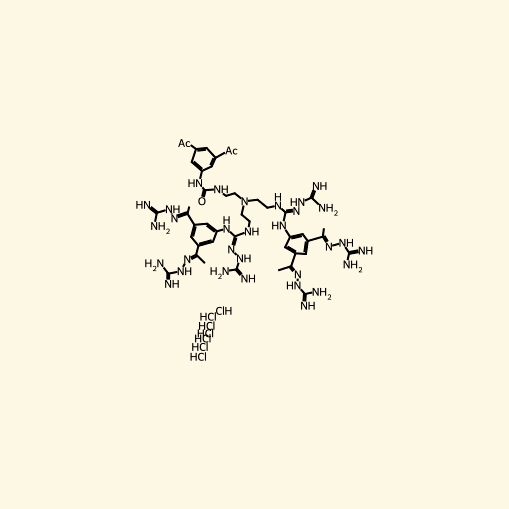 CC(=O)c1cc(NC(=O)NCCN(CCNC(=NNC(=N)N)Nc2cc(C(C)=NNC(=N)N)cc(C(C)=NNC(=N)N)c2)CCNC(=NNC(=N)N)Nc2cc(C(C)=NNC(=N)N)cc(C(C)=NNC(=N)N)c2)cc(C(C)=O)c1.Cl.Cl.Cl.Cl.Cl.Cl.Cl